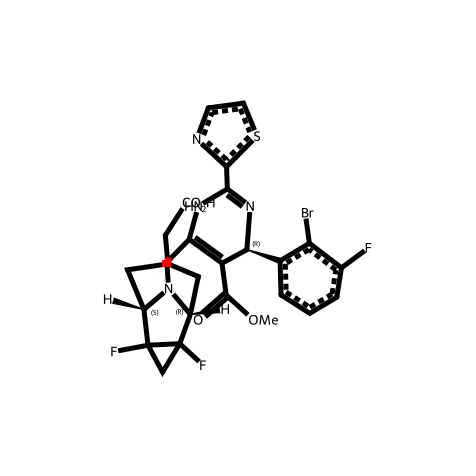 COC(=O)C1=C(CN2[C@H]3CC(CC(=O)O)C[C@@H]2C2(F)CC32F)NC(c2nccs2)=N[C@H]1c1cccc(F)c1Br